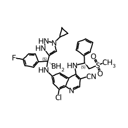 B[C@@](Nc1cc(Cl)c2ncc(C#N)c(N[C@H](CS(C)(=O)=O)c3ccccc3)c2c1)(C1=CN(C2CC2)NN1)c1ccc(F)cc1